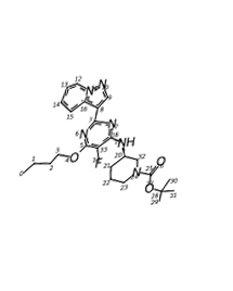 CCCCOc1nc(-c2cnn3ccccc23)nc(N[C@@H]2CCCN(C(=O)OC(C)(C)C)C2)c1F